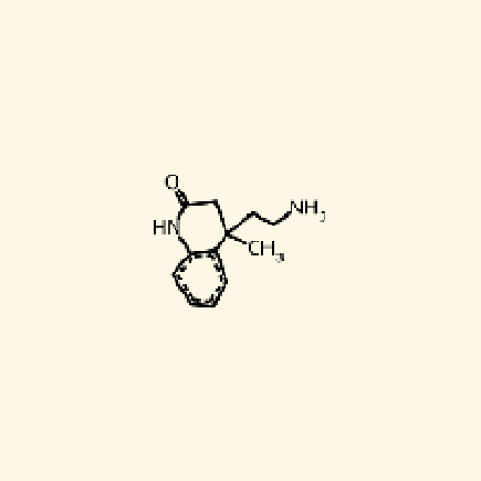 CC1(CCN)CC(=O)Nc2ccccc21